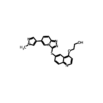 Cn1cc(-c2ccc3nnc(Sc4ccc5nccc(OCCO)c5c4)n3c2)cn1